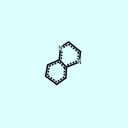 [c]1ccc2nc[c]nc2c1